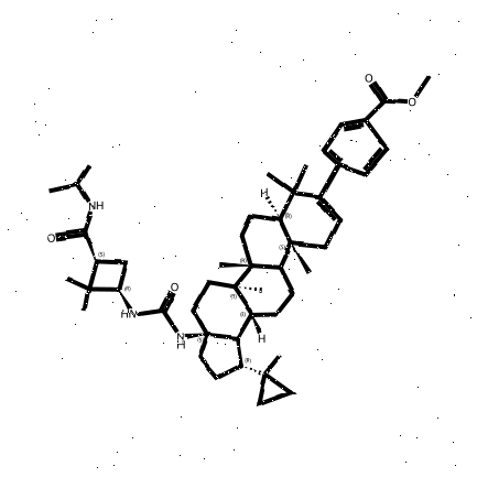 COC(=O)c1ccc(C2=CC[C@]3(C)C4CC[C@@H]5C6[C@H](C7(C)CC7)CC[C@]6(NC(=O)N[C@@H]6C[C@H](C(=O)NC(C)C)C6(C)C)CC[C@@]5(C)[C@]4(C)CC[C@H]3C2(C)C)cc1